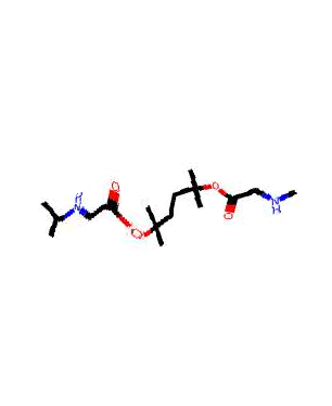 CNCC(=O)OC(C)(C)CCC(C)(C)OC(=O)CNC(C)C